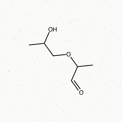 CC(O)COC(C)C=O